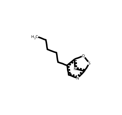 CCCCCc1cnc2nc1OS2